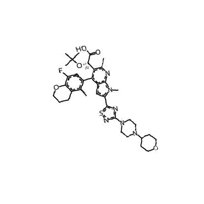 Cc1nc2c(cc(-c3nc(N4CCN(C5CCOCC5)CC4)ns3)n2C)c(-c2cc(F)c3c(c2C)CCCO3)c1[C@H](OC(C)(C)C)C(=O)O